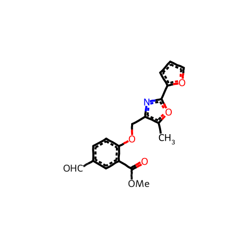 COC(=O)c1cc(C=O)ccc1OCc1nc(-c2ccco2)oc1C